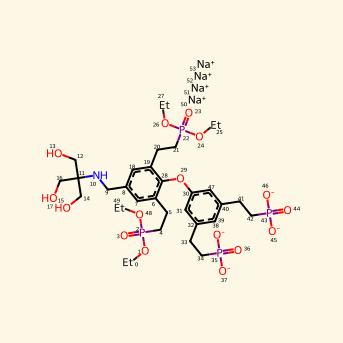 CCOP(=O)(CCc1cc(CNC(CO)(CO)CO)cc(CCP(=O)(OCC)OCC)c1Oc1cc(CCP(=O)([O-])[O-])cc(CCP(=O)([O-])[O-])c1)OCC.[Na+].[Na+].[Na+].[Na+]